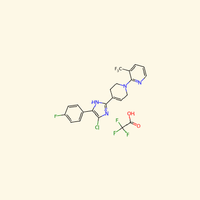 Fc1ccc(-c2[nH]c(C3=CCN(c4ncccc4C(F)(F)F)CC3)nc2Cl)cc1.O=C(O)C(F)(F)F